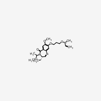 C=CN(C)OCCCOc1cc2c(cc1OC)C(=O)N(C(C)OC)[C@@H](CC)C=N2